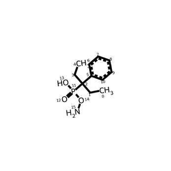 CCC(CC)(c1ccccc1)P(=O)(O)ON